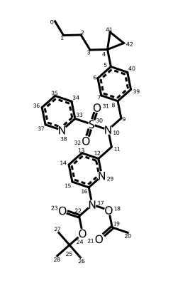 CCCCC1(c2ccc(CN(Cc3cccc(N(OC(C)=O)C(=O)OC(C)(C)C)n3)S(=O)(=O)c3ccccn3)cc2)CC1